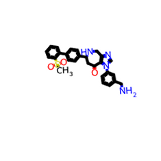 CS(=O)(=O)c1ccccc1-c1ccc(C2CC(=O)c3c(ncn3-c3cccc(CN)c3)CN2)cc1